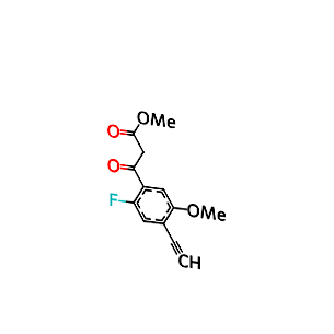 C#Cc1cc(F)c(C(=O)CC(=O)OC)cc1OC